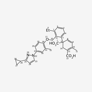 CCc1cccc(C2(C(=O)O)C=CC(C)=C(C(=O)O)C2)c1COc1ccc(-n2ccc(C3CC3)n2)cc1C